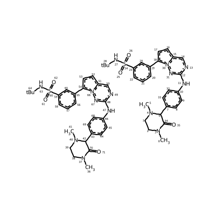 CN1CCN(C)C(c2ccc(Nc3ncc4ccc(-c5cccc(S(=O)(=O)NC(C)(C)C)c5)n4n3)cc2)C1=O.CN1CCN(C)C(c2ccc(Nc3ncc4ccc(-c5cccc(S(=O)(=O)NC(C)(C)C)c5)n4n3)cc2)C1=O